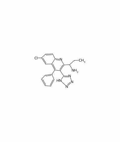 CCC(N)c1nc2ccc(Cl)cc2c(-c2ccccc2)c1-c1nnn[nH]1